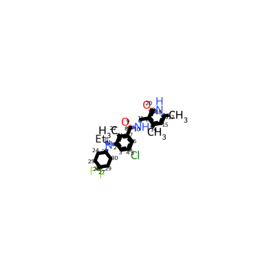 CCN(c1cc(Cl)cc(C(=O)NCc2c(C)cc(C)[nH]c2=O)c1C)C1CCC(F)(F)CC1